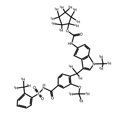 [2H]C([2H])([2H])Oc1cc(C(=O)NS(=O)(=O)c2ccccc2C([2H])([2H])[2H])ccc1C([2H])([2H])c1cn(C([2H])([2H])[2H])c2ccc(NC(=O)OC3([2H])C([2H])([2H])C([2H])([2H])C([2H])([2H])C3([2H])[2H])cc12